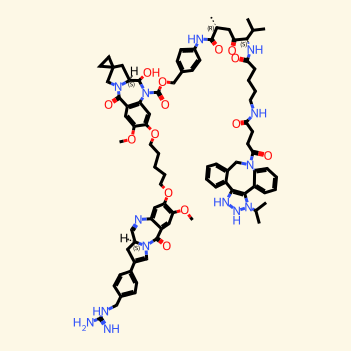 COc1cc2c(cc1OCCCCCOc1cc3c(cc1OC)C(=O)N1CC4(CC4)C[C@H]1C(O)N3C(=O)OCc1ccc(NC(=O)[C@H](C)CC(=O)[C@@H](NC(=O)CCCCNC(=O)CCC(=O)N3Cc4ccccc4C4=C(c5ccccc53)N(C(C)C)NN4)C(C)C)cc1)N=C[C@@H]1CC(c3ccc(CNC(=N)N)cc3)=CN1C2=O